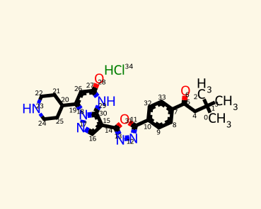 CC(C)(C)CC(=O)c1ccc(-c2nnc(-c3cnn4c(C5CCNCC5)cc(=O)[nH]c34)o2)cc1.Cl